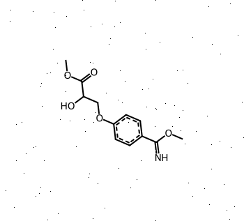 COC(=N)c1ccc(OCC(O)C(=O)OC)cc1